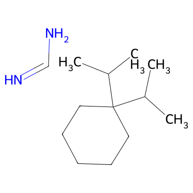 CC(C)C1(C(C)C)CCCCC1.N=CN